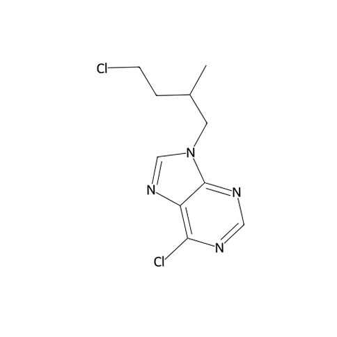 CC(CCCl)Cn1cnc2c(Cl)ncnc21